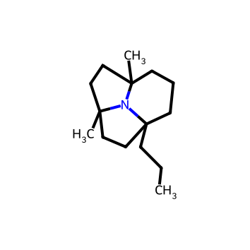 CCCC12CCCC3(C)CCC(C)(CC1)N32